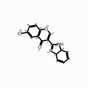 O=c1c(C2=NC3C=CC=CC3N2)coc2ccc(Cl)cc12